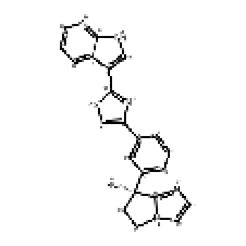 O[C@@]1(c2cccc(-c3csc(-c4c[nH]c5ncccc45)n3)c2)CCn2ccnc21